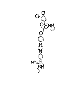 CCC(C)n1ncn(-c2ccc(N3CCN(c4ccc(OCC5COC(CN6CC=CC=N6)(c6ccc(Cl)c(Cl)c6)O5)cc4)CC3)cc2)c1=N